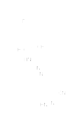 CC(C)(CNc1ccc(-c2ccc3[nH]nc(C#N)c3c2)nn1)c1ccc(F)cc1